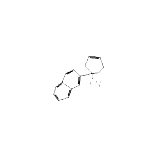 N#C[C@@]1(c2ccc3ccccc3c2)CC=CCC1